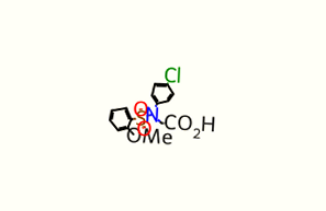 COc1ccccc1S(=O)(=O)N(CC(=O)O)c1ccc(Cl)cc1